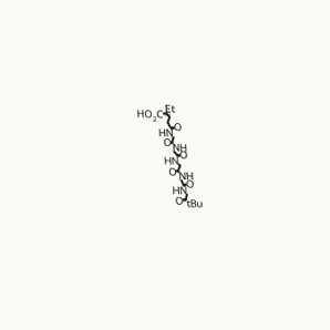 CC[C@@H](CCC(=O)NCC(=O)NCC(=O)NCC(=O)NCC(=O)NCC(=O)C(C)(C)C)C(=O)O